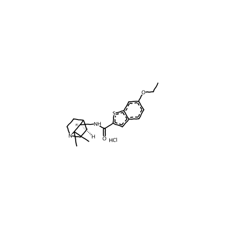 CCOc1ccc2cc(C(=O)N[C@@H]3C4CCN(CC4)C3(C)C)sc2c1.Cl